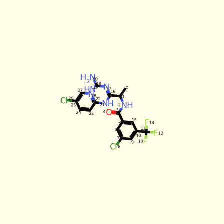 CC(NC(=O)c1cc(Cl)cc(C(F)(F)F)c1)/C(=N/C(=N)N)Nc1ccc(Cl)cn1